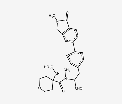 CN1Cc2cc(-c3ccc(CC(C=O)N(N)C(=O)C4(NC(=O)O)CCOCC4)cc3)ccc2C1=O